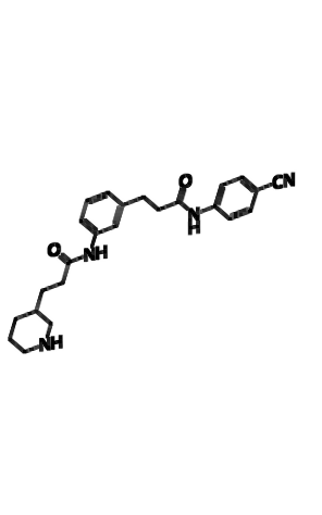 N#Cc1ccc(NC(=O)CCc2cccc(NC(=O)CCC3CCCNC3)c2)cc1